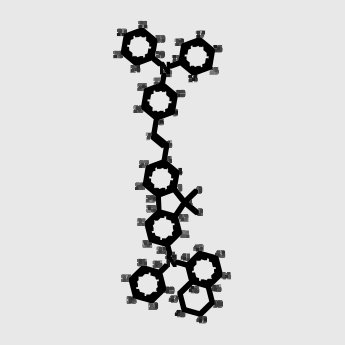 CC1(C)c2cc(/C=C/c3ccc(N(c4ccccc4)c4ccccc4)cc3)ccc2-c2ccc(N(c3ccccc3)c3cccc4c3CCCC4)cc21